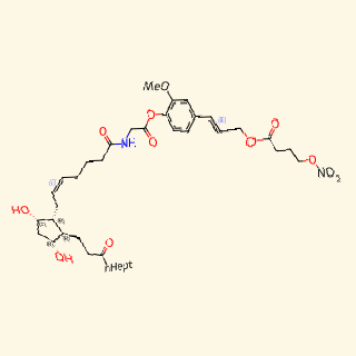 CCCCCCCC(=O)CC[C@@H]1[C@@H](C/C=C\CCCC(=O)NCC(=O)Oc2ccc(/C=C/COC(=O)CCCO[N+](=O)[O-])cc2OC)[C@@H](O)C[C@H]1O